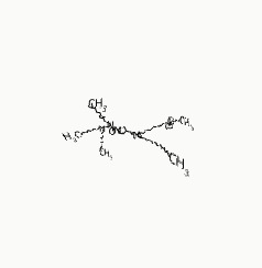 CCCCCCCCCCCCCCN(CCCCCCCC(=O)OCCCCC)CCC1CCN(C(=O)CN(CCCCCCCCC)CCN(CCCCCCCCC)CCCCCCCCC)CC1